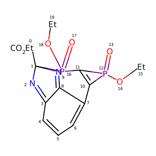 CCOC(=O)C12N=c3cccc(c3=N1)C1=C(P1(=O)OCC)P2(=O)OCC